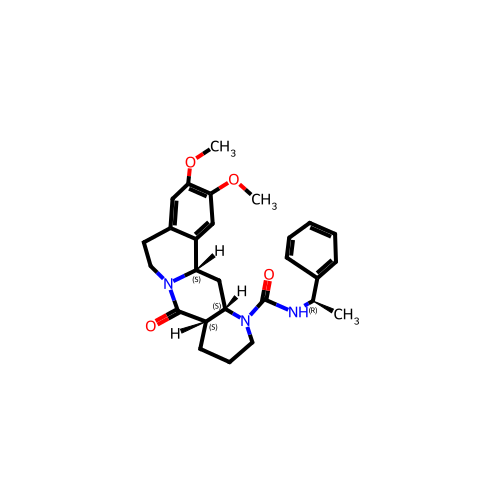 COc1cc2c(cc1OC)[C@@H]1C[C@H]3[C@H](CCCN3C(=O)N[C@H](C)c3ccccc3)C(=O)N1CC2